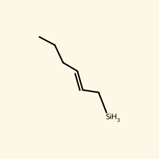 CCCC=CC[SiH3]